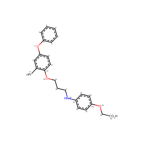 CCCc1cc(Oc2ccccc2)ccc1OCCCNc1ccc(OCC(=O)O)cc1